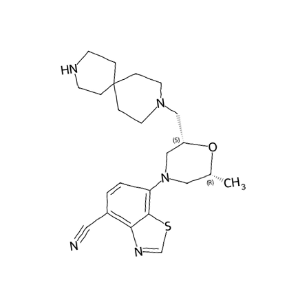 C[C@@H]1CN(c2ccc(C#N)c3ncsc23)C[C@H](CN2CCC3(CCNCC3)CC2)O1